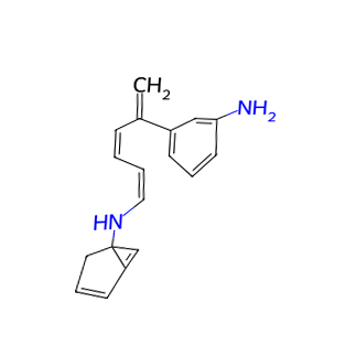 C=C(/C=C\C=C/NC12C=C1C=CC2)c1cccc(N)c1